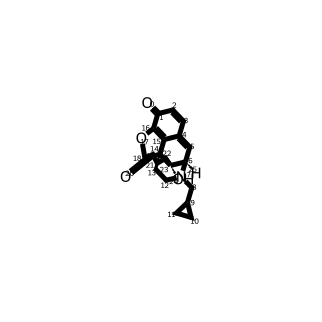 O=C1C=CC2=C[C@H]3N(CC4CC4)CC[C@]45C2=C1OC4C(=O)CC[C@@]35O